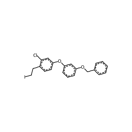 Clc1cc(Oc2cccc(OCc3ccccc3)c2)ccc1CCI